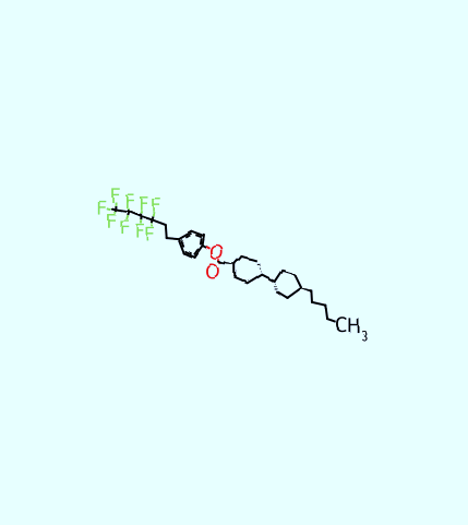 CCCCC[C@H]1CC[C@H]([C@H]2CC[C@H](C(=O)Oc3ccc(CCC(F)(F)C(F)(F)C(F)(F)C(F)(F)F)cc3)CC2)CC1